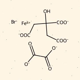 O=C([O-])C(=O)[O-].O=C([O-])CC(O)(CC(=O)[O-])C(=O)[O-].[Br-].[Fe+6]